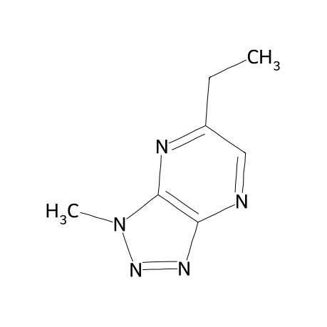 CCc1cnc2nnn(C)c2n1